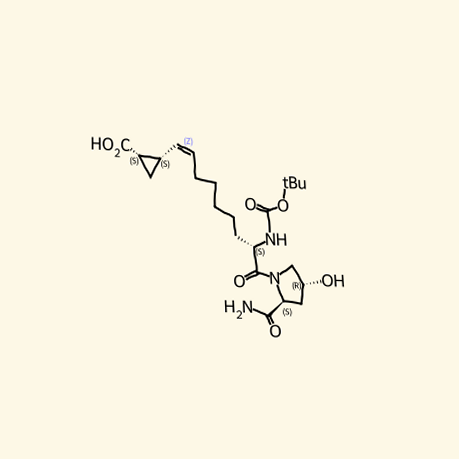 CC(C)(C)OC(=O)N[C@@H](CCCCC/C=C\[C@@H]1C[C@@H]1C(=O)O)C(=O)N1C[C@H](O)C[C@H]1C(N)=O